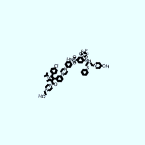 Cc1c(C(=O)N2CCN(CCO)CC2)c(-c2cccc(N3CCN(c4ccc(NS(=O)(=O)c5ccc(N[C@H](CCN6CCC(O)CC6)CSc6ccccc6)c(S(=O)(=O)C(F)(F)F)c5)cc4)CC3)c2)c(-c2ccc(Cl)cc2)n1C(C)C